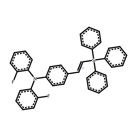 Fc1ccccc1N(c1ccc(/C=C/[Si](c2ccccc2)(c2ccccc2)c2ccccc2)cc1)c1ccccc1F